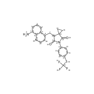 Nc1cccc2c(CN3C(=O)N(c4ccc(SC(F)(F)F)cc4)C(=O)C34CC4)ccnc12